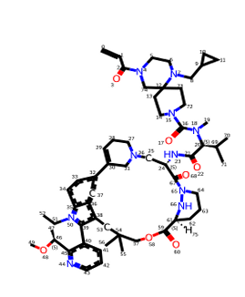 C=CC(=O)N1CCN(CC2CC2)C2(CCN(C(=O)N(C)[C@H](C(=O)N[C@H]3CN4CCC=C(C4)c4ccc5c(c4)c(c(-c4cccnc4[C@H](C)OC)n5CC)CC(C)(C)COC(=O)[C@@H]4CCCN(N4)C3=O)C(C)C)CC2)C1